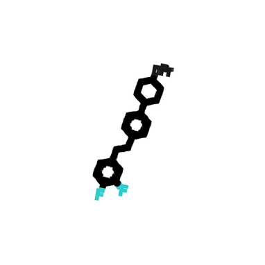 CCCC1CCC(c2ccc(CCc3ccc(F)c(F)c3)cc2)CC1